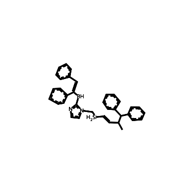 CC(C=C[SiH2]Cn1ccnc1BC(=Cc1ccccc1)c1ccccc1)C(c1ccccc1)c1ccccc1